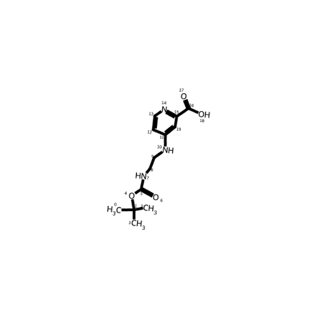 CC(C)(C)OC(=O)NCCNc1ccnc(C(=O)O)c1